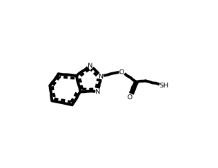 O=C(CS)On1nc2ccccc2n1